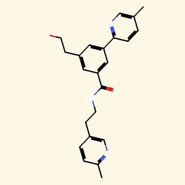 Cc1ccc(-c2cc(CCO)cc(C(=O)NCCc3ccc(C)nc3)c2)nc1